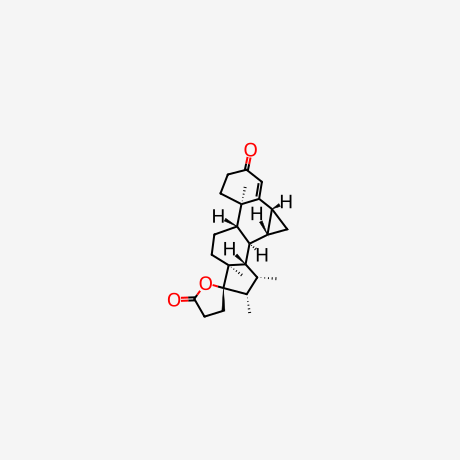 C[C@H]1[C@H]2[C@@H]3[C@H]4C[C@H]4C4=CC(=O)CC[C@]4(C)[C@H]3CC[C@]2(C)[C@]2(CCC(=O)O2)[C@H]1C